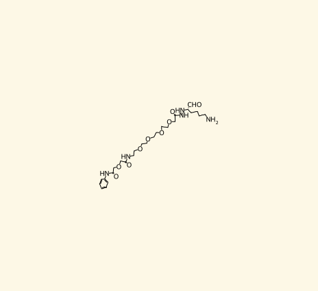 NCCCC[C@@H](C=O)NNC(=O)COCCOCCOCCOCCNC(=O)COCC(=O)Nc1ccccc1